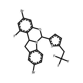 Fc1cc(Br)cc2c1C1Cc3cc(Br)ccc3N1C(c1ccc(CC(F)(F)F)s1)O2